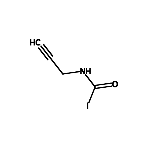 C#CCNC(=O)I